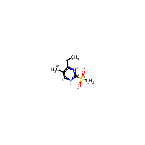 CCc1nc(S(C)(=O)=O)ncc1C